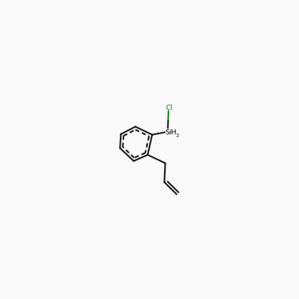 C=CCc1ccccc1[SiH2]Cl